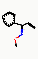 C=C/C(=N/OC)c1ccccc1